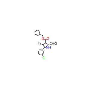 CCc1c(-c2cccc(Cl)c2)[nH]c(C=O)c1C(=O)OCc1ccccc1